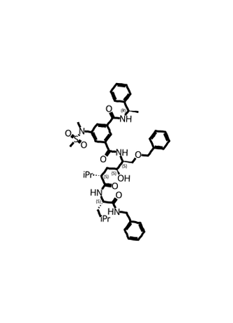 CC(C)C[C@H](NC(=O)[C@@H](C[C@H](O)[C@H](COCc1ccccc1)NC(=O)c1cc(C(=O)N[C@H](C)c2ccccc2)cc(N(C)S(C)(=O)=O)c1)C(C)C)C(=O)NCc1ccccc1